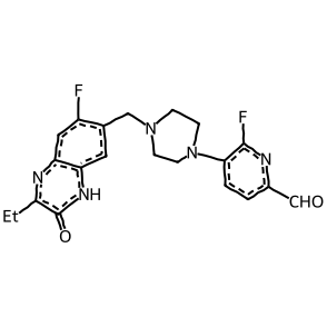 CCc1nc2cc(F)c(CN3CCN(c4ccc(C=O)nc4F)CC3)cc2[nH]c1=O